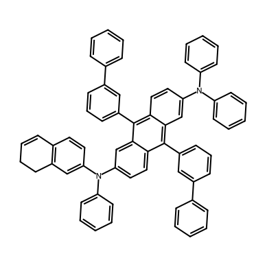 C1=Cc2ccc(N(c3ccccc3)c3ccc4c(-c5cccc(-c6ccccc6)c5)c5cc(N(c6ccccc6)c6ccccc6)ccc5c(-c5cccc(-c6ccccc6)c5)c4c3)cc2CC1